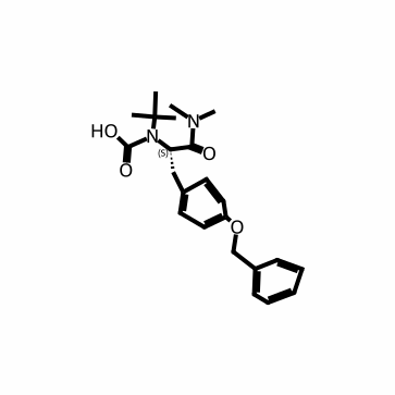 CN(C)C(=O)[C@H](Cc1ccc(OCc2ccccc2)cc1)N(C(=O)O)C(C)(C)C